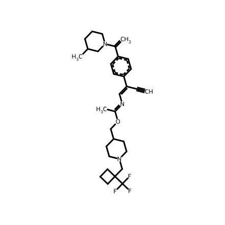 C#C/C(=C\N=C(/C)OCC1CCN(CC2(C(F)(F)F)CCC2)CC1)c1ccc(C(=C)N2CCCC(C)C2)cc1